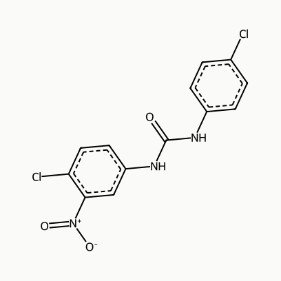 O=C(Nc1ccc(Cl)cc1)Nc1ccc(Cl)c([N+](=O)[O-])c1